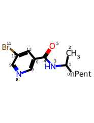 CCCCCC(C)NC(=O)c1cncc(Br)c1